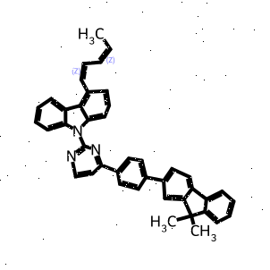 C/C=C\C=C/c1cccc2c1c1ccccc1n2-c1nccc(-c2ccc(-c3ccc4c(c3)C(C)(C)c3ccccc3-4)cc2)n1